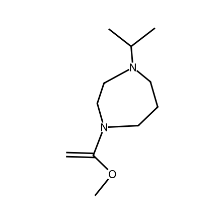 C=C(OC)N1CCCN(C(C)C)CC1